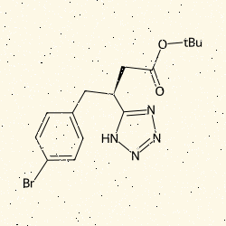 CC(C)(C)OC(=O)C[C@H](Cc1ccc(Br)cc1)c1nnn[nH]1